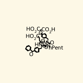 CCCCCNC(=O)[C@H](Cc1ccc(OC(C(=O)O)C(=O)O)cc1)NC(=O)[C@@H](Cc1ccc(C(=O)c2ccccc2)cc1)NC(=O)CCC(=O)O